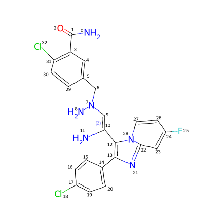 NC(=O)c1cc(CN(N)/C=C(\N)c2c(-c3ccc(Cl)cc3)nc3cc(F)ccn23)ccc1Cl